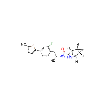 N#Cc1ccc(-c2ccc(C[C@@H](C#N)NC(=O)[C@H]3N[C@H]4C[C@@H]3[C@@H]3C[C@@H]34)c(F)c2)s1